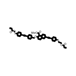 C=CC(=O)OCCSc1ccc(C#Cc2ccc3c(C(=O)OC)c(OCc4ccc(C#Cc5ccc(SOC(=O)C=C)cc5)cc4)ccc3c2)cc1